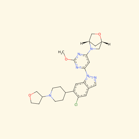 COc1nc(N2C[C@@H]3C[C@H]2CO3)cc(-n2ncc3cc(Cl)c(C4CCN(C5CCOC5)CC4)cc32)n1